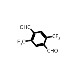 O=Cc1cc(C(F)(F)F)c(C=O)cc1C(F)(F)F